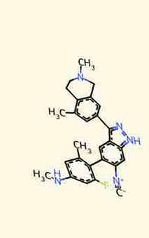 [C-]#[N+]c1cc2[nH]nc(-c3cc(C)c4c(c3)CN(C)CC4)c2cc1-c1c(C)cc(NC)cc1F